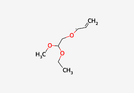 C=C[CH]OCC(OC)OCC